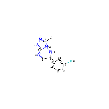 Cc1nnc2ncc(-c3cccc(F)c3)nn12